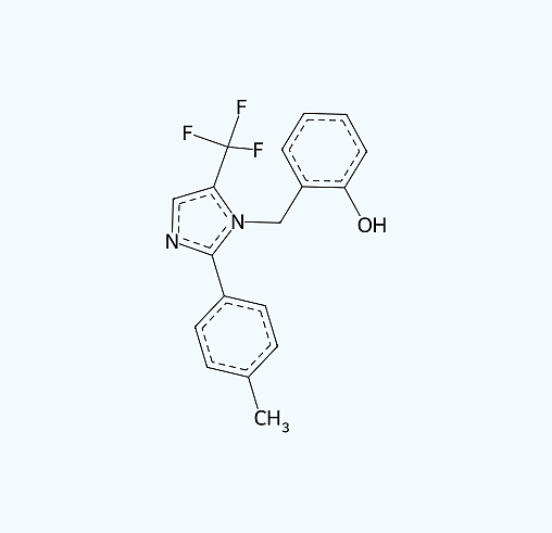 Cc1ccc(-c2ncc(C(F)(F)F)n2Cc2ccccc2O)cc1